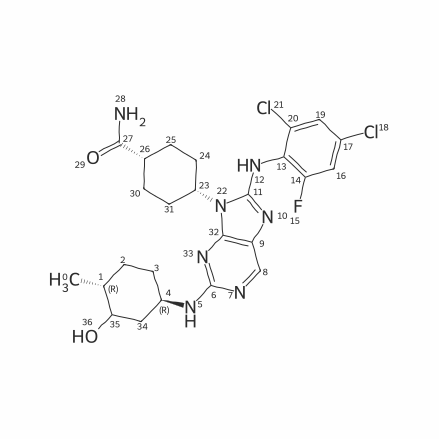 C[C@@H]1CC[C@@H](Nc2ncc3nc(Nc4c(F)cc(Cl)cc4Cl)n([C@H]4CC[C@@H](C(N)=O)CC4)c3n2)CC1O